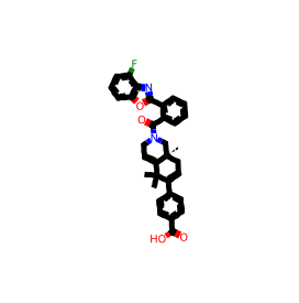 CC1(C)C(c2ccc(C(=O)O)cc2)=CC[C@]2(C)CN(C(=O)c3ccccc3-c3nc4c(F)cccc4o3)CC=C12